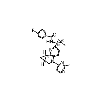 Cc1nccc(N2C[C@@H]3C[C@@H]3c3nc([C@]4(NC(=O)c5ccc(F)cc5)C[C@H]4C)ccc32)n1